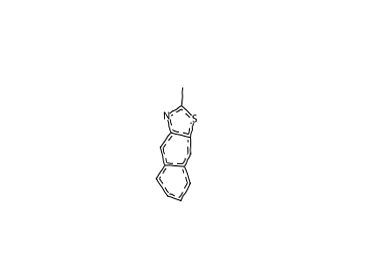 Cc1nc2cc3ccccc3cc2s1